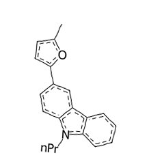 CCCn1c2ccccc2c2cc(-c3ccc(C)o3)ccc21